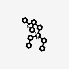 c1ccc(-c2cccc(-c3cc(-c4cccc(-c5cccc6c(-c7ccccc7)nc7ccccc7c56)c4)nc(-c4cccc(-c5ccccc5)c4)n3)c2)cc1